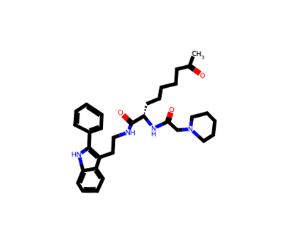 CC(=O)CCCCC[C@H](NC(=O)CN1CCCCC1)C(=O)NCCc1c(-c2ccccc2)[nH]c2ccccc12